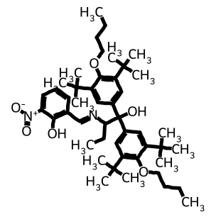 CCCCOc1c(C(C)(C)C)cc(C(O)(c2cc(C(C)(C)C)c(OCCCC)c(C(C)(C)C)c2)C(CC)N=Cc2cccc([N+](=O)[O-])c2O)cc1C(C)(C)C